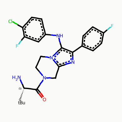 CC(C)(C)[C@H](N)C(=O)N1CCn2c(nc(-c3ccc(F)cc3)c2Nc2ccc(Cl)c(F)c2)C1